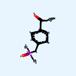 CCP(=O)(CC)Cc1ccc(C(=O)OC)cc1